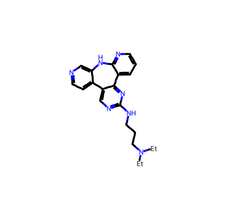 CCN(CC)CCCNc1ncc2c(n1)-c1cccnc1Nc1cnccc1-2